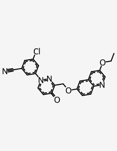 CCOc1cnc2ccc(OCc3nn(-c4cc(Cl)cc(C#N)c4)ccc3=O)cc2c1